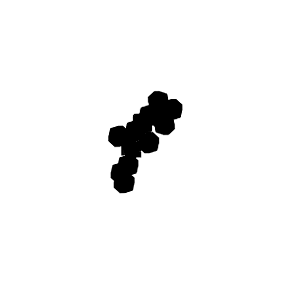 c1ccc(-c2nc(-c3ccc4c(ccc5ccccc54)c3)nc(-c3ccccc3-c3ccc4c(c3)Oc3ccc5c(c3O4)-c3ccccc3C5(c3ccccc3)c3ccccc3)n2)cc1